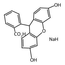 O=C(O)c1ccccc1C1c2ccc(O)cc2Oc2cc(O)ccc21.[NaH]